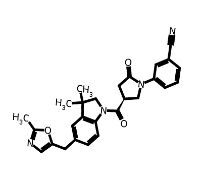 Cc1ncc(Cc2ccc3c(c2)C(C)(C)CN3C(=O)[C@H]2CC(=O)N(c3cccc(C#N)c3)C2)o1